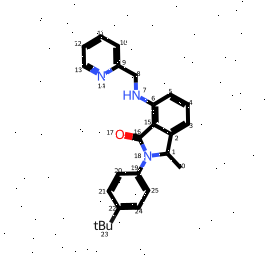 CC1c2cccc(NCc3ccccn3)c2C(=O)N1c1ccc(C(C)(C)C)cc1